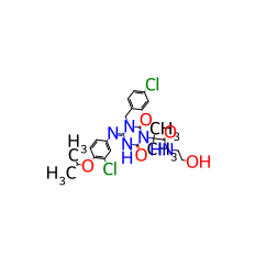 CC(C)Oc1ccc(/N=c2\[nH]c(=O)n(C(C)(C)C(=O)NCCO)c(=O)n2Cc2ccc(Cl)cc2)cc1Cl